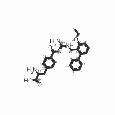 CCOc1cccc(-c2ccccc2)c1CNC(N)=NC(=O)c1ccc(C[C@H](N)C(=O)O)cc1